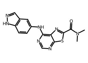 CN(C)C(=O)c1nc2c(Nc3ccc4[nH]ncc4c3)ncnc2s1